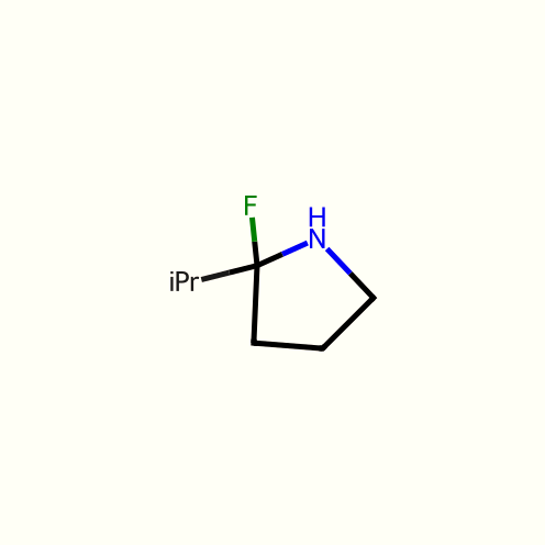 CC(C)C1(F)CCCN1